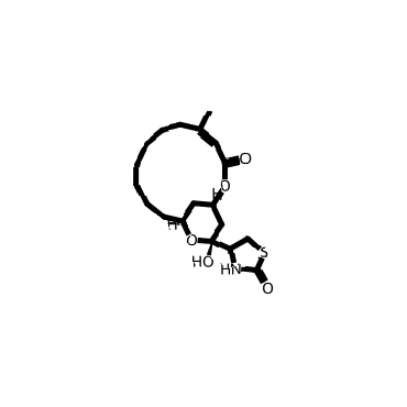 CC1=CC(=O)O[C@@H]2C[C@@H](CCCCCCC1)O[C@@](O)(C1CSC(=O)N1)C2